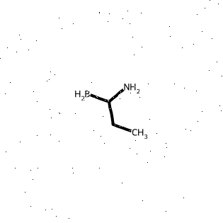 BC(N)CC